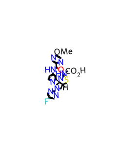 COc1cnc(C(=O)Nc2ccnc([C@]34CN(c5ncc(F)cn5)C[C@H]3CSC(NC(=O)O)=N4)c2)cn1